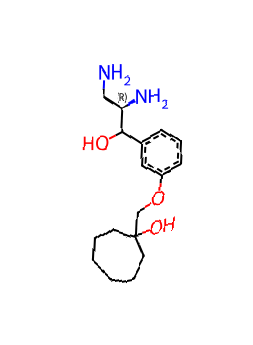 NC[C@@H](N)C(O)c1cccc(OCC2(O)CCCCCC2)c1